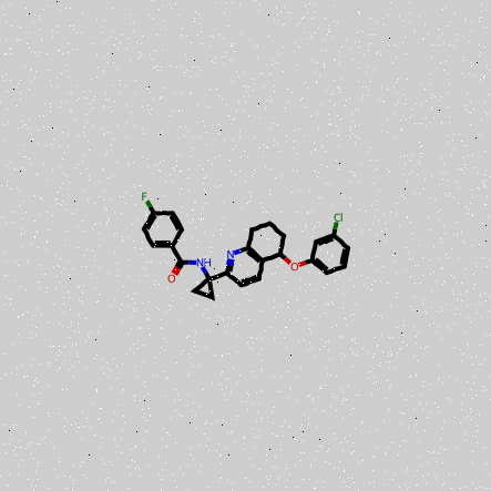 O=C(NC1(c2ccc3c(n2)CCCC3Oc2cccc(Cl)c2)CC1)c1ccc(F)cc1